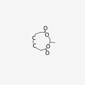 CC1COC(=O)CCCCCCCC(=O)O1